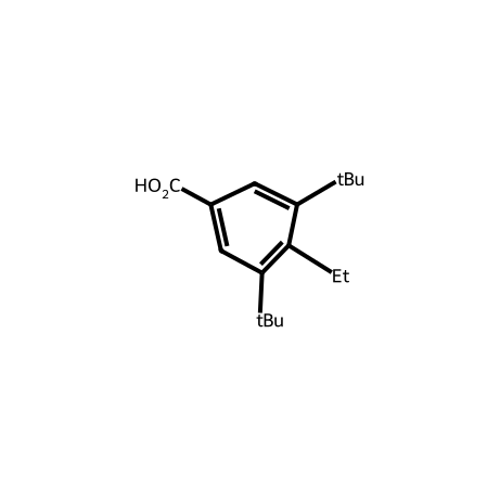 CCc1c(C(C)(C)C)cc(C(=O)O)cc1C(C)(C)C